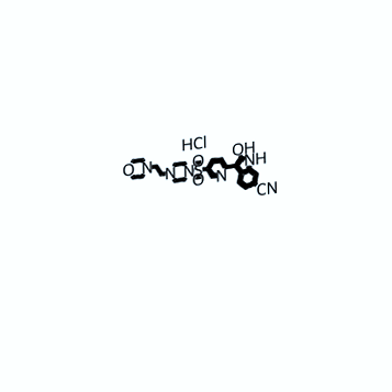 Cl.N#Cc1ccc2c(-c3ccc(S(=O)(=O)N4CCN(CCN5CCOCC5)CC4)cn3)c(O)[nH]c2c1